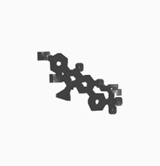 N#Cc1ccc2c(c1)[nH]c1c2c(=O)c2cc(OCC(F)(F)F)c(-c3cccc(S(=O)(=O)F)c3)cc2n1C1CC1